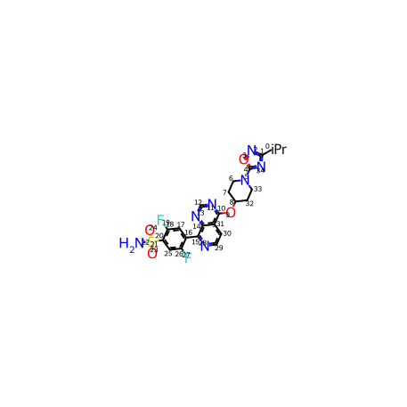 CC(C)c1noc(N2CCC(Oc3ncnc4c(-c5cc(F)c(S(N)(=O)=O)cc5F)nccc34)CC2)n1